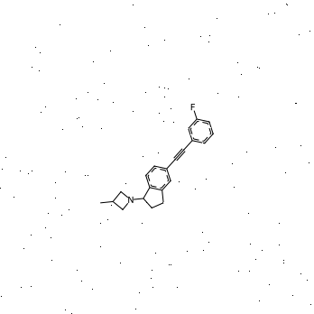 CC1CN(C2CCc3cc(C#Cc4cccc(F)c4)ccc32)C1